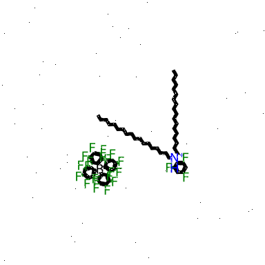 CCCCCCCCCCCCCCCCCC[NH+](CCCCCCCCCCCCCCCCCC)c1c(F)cc(F)cc1F.Fc1c(F)c(F)c([B-](c2c(F)c(F)c(F)c(F)c2F)(c2c(F)c(F)c(F)c(F)c2F)c2c(F)c(F)c(F)c(F)c2F)c(F)c1F